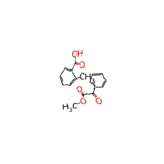 COC(=O)C(=O)c1ccccc1.Cc1ccccc1C(=O)O